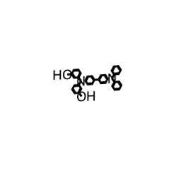 Oc1cccc(N(c2ccc(-c3ccc(N(c4ccccc4)c4ccccc4)cc3)cc2)c2cccc(O)c2)c1